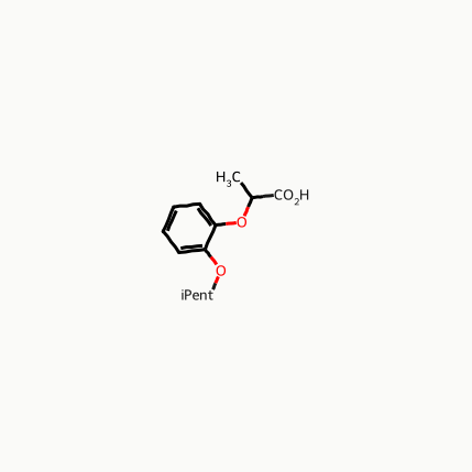 CCCC(C)Oc1ccccc1OC(C)C(=O)O